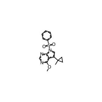 COc1ncnc2c1c(C1(C)CC1)cn2S(=O)(=O)c1ccccc1